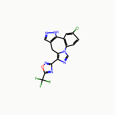 FC(F)(F)c1nc(-c2ncn3c2Cc2cn[nH]c2-c2cc(Cl)ccc2-3)no1